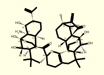 C=C(C)[C@@H]1CC[C@H]2[C@@]34CO[C@@](O)([C@@H](O)[C@@H]3C(C)(C)C[C@]3(CCC5=C(O3)[C@]36CO[C@@](O)([C@@H](O)[C@@H]3C(C)(C)C5)[C@]35C(=O)C(=C)[C@H](CC[C@@H]63)[C@H]5O)C4=O)[C@@]2(N)[C@@H]1O